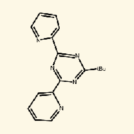 CC(C)(C)c1nc(-c2ccccn2)nc(-c2ccccn2)n1